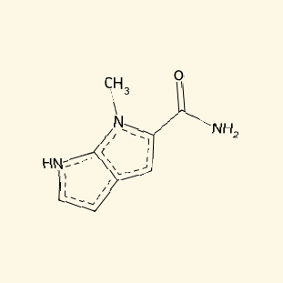 Cn1c(C(N)=O)cc2cc[nH]c21